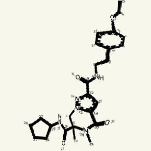 CCOc1ccc(CCNC(=O)c2cc3n(n2)CC(C)(C(=O)NC2CCCC2)N(C)C3=O)cc1